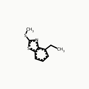 CCc1cccc2sc(SC)nc12